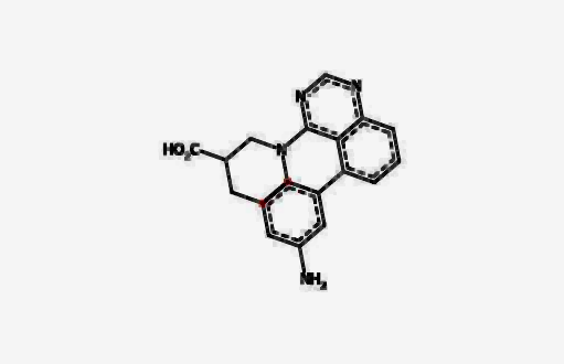 Nc1cccc(-c2cccc3ncnc(N4CCCC(C(=O)O)C4)c23)c1